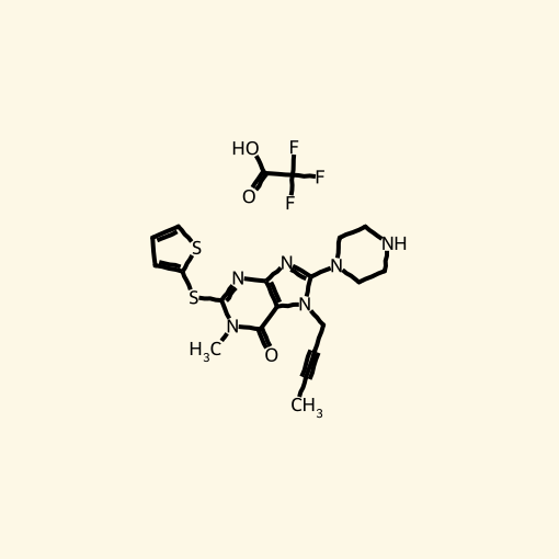 CC#CCn1c(N2CCNCC2)nc2nc(Sc3cccs3)n(C)c(=O)c21.O=C(O)C(F)(F)F